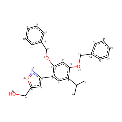 CC(C)c1cc(-c2cc(CO)on2)c(OCc2ccccc2)cc1OCc1ccccc1